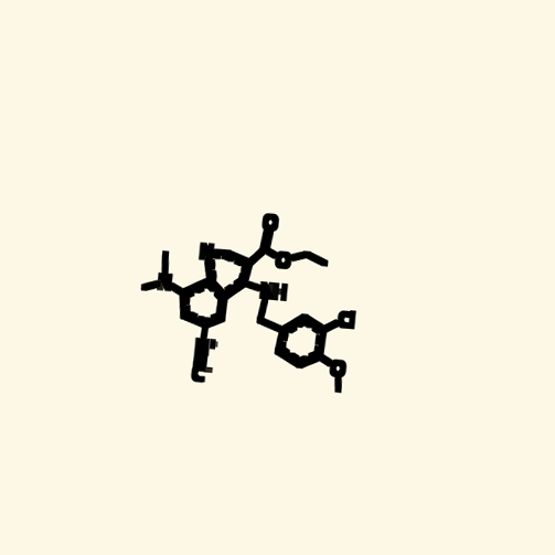 [C-]#[N+]c1cc(N(C)C)c2ncc(C(=O)OCC)c(NCc3ccc(OC)c(Cl)c3)c2c1